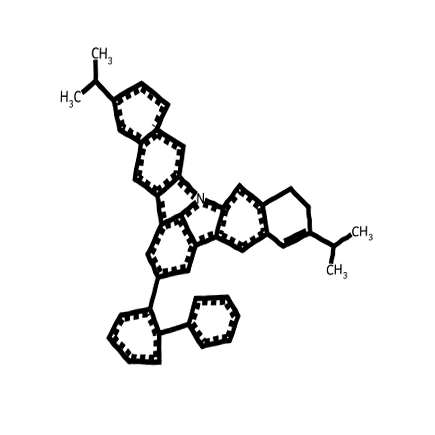 CC(C)C1=Cc2cc3c4cc(-c5ccccc5-c5ccccc5)cc5c6cc7cc(C(C)C)ccc7cc6n(c3cc2CC1)c45